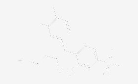 Cc1ccc(C(=C(CCO)C(=O)O)c2ccc(S(C)(=O)=O)cc2)cc1F